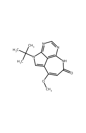 COC1=CC(=O)Nc2ncnc3c2c1cn3C(C)(C)C